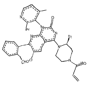 C=CC(=[18O])N1CCN(c2nc(=O)n(-c3c(C)ccnc3C(C)C)c3nc(-c4ccccc4C=O)c(Cl)cc23)[C@@H](CC)C1